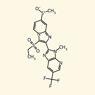 CCS(=O)(=O)c1c(-c2nc3cc(C(F)(F)F)cnc3n2C)nc2cc([S+](C)[O-])ccn12